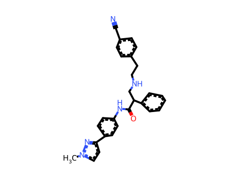 Cn1ccc(-c2ccc(NC(=O)C(CNCCc3ccc(C#N)cc3)c3ccccc3)cc2)n1